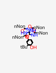 CCCCCCCCCC(=O)NC(Oc1ccc(O)c(C(C)(C)C)c1)C(NC(=O)CCCCCCCCC)(NC(=O)CCCCCCCCC)NC(=O)CCCCCCCCC